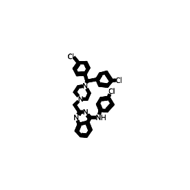 Clc1ccc(Nc2nc(CN3CCN(C(c4ccc(Cl)cc4)c4ccc(Cl)cc4)CC3)nc3ccccc23)cc1